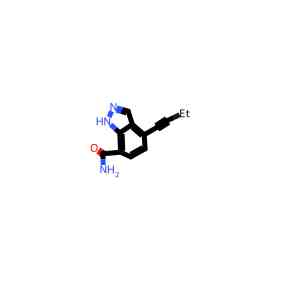 CCC#Cc1ccc(C(N)=O)c2[nH]ncc12